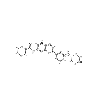 O=C(Nc1cc2cc(-c3cncc(NC4CCNCC4)c3)ccc2nn1)C1CCCCC1